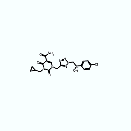 NC(=O)c1cn(Cc2nnn(C[C@H](O)c3ccc(Cl)cc3)n2)c(=O)n(CC2CC2)c1=O